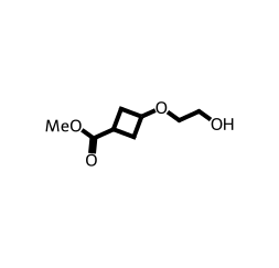 COC(=O)C1CC(OCCO)C1